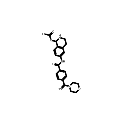 CCC(=O)OC1NCCc2cc(NC(=O)c3ccc(C(=N)N4CCOCC4)cc3)ccc21